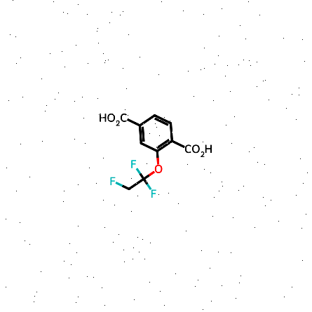 O=C(O)c1ccc(C(=O)O)c(OC(F)(F)CF)c1